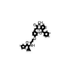 COC(=O)C(Cc1ccc(OCCCNC(C(=O)C2CCCC2)C2CC2)cc1)Nc1ccccc1C(=O)c1ccccc1